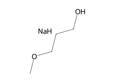 COCCCO.[NaH]